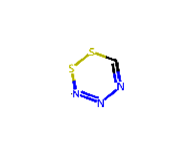 C1=NN=[N+]SS1